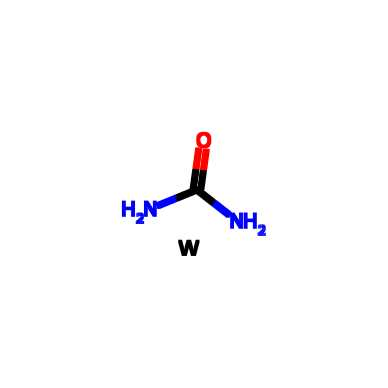 NC(N)=O.[W]